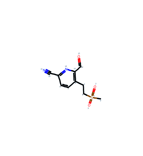 CS(=O)(=O)CCc1ccc(C#N)nc1C=O